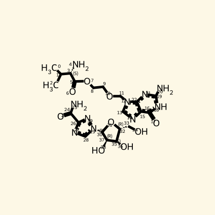 CC(C)[C@H](N)C(=O)OCCOCn1cnc2c(=O)[nH]c(N)nc21.NC(=O)c1ncn([C@@H]2O[C@H](CO)[C@@H](O)[C@H]2O)n1